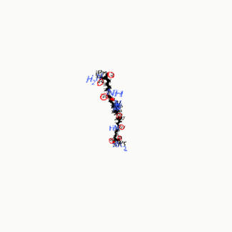 CC(C)C(=O)C(CCCCNC(=O)CCc1cn(C(C)(C)COC(C)(C)CCC(=O)NCCCCC(C(N)=O)C(=O)C(C)C)nn1)C(N)=O